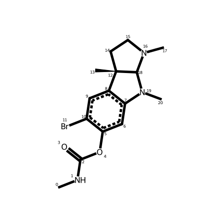 CNC(=O)Oc1cc2c(cc1Br)[C@]1(C)CCN(C)C1N2C